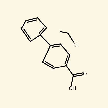 CCCl.O=C(O)c1ccc(-c2ccccc2)cc1